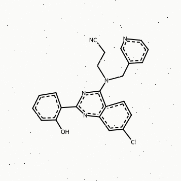 N#CCCN(Cc1cccnc1)c1nc(-c2ccccc2O)nc2cc(Cl)ccc12